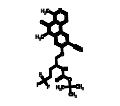 Cc1nccc2c1c(=O)n(C)c1cc(OCC(CCC(F)(F)F)NC(=O)OC(C)(C)C)c(C#N)cc21